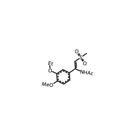 CCOc1cc(C(=CS(C)(=O)=O)NC(C)=O)ccc1OC